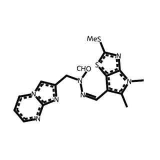 CSc1nc2c(s1)c(/C=N\N(C=O)Cc1cn3cccnc3n1)c(C)n2C